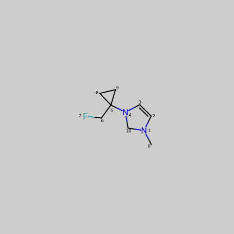 CN1C=CN(C2(CF)CC2)C1